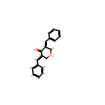 O=C1/C(=C/c2ccccc2)COC/C1=C\c1ccccc1